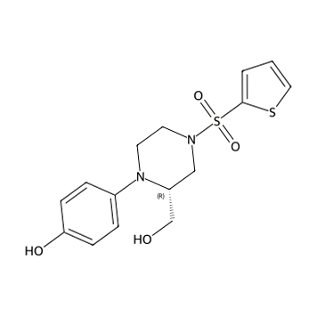 O=S(=O)(c1cccs1)N1CCN(c2ccc(O)cc2)[C@@H](CO)C1